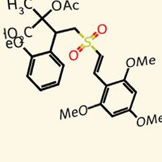 COc1cc(OC)c(C=CS(=O)(=O)CC(c2ccccc2OC)C(C)(OC(C)=O)C(=O)O)c(OC)c1